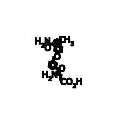 Cn1cc(C(N)=O)c2cc(OCc3cccc(C(=O)[C@@H](N)CCC(=O)O)c3)ccc21